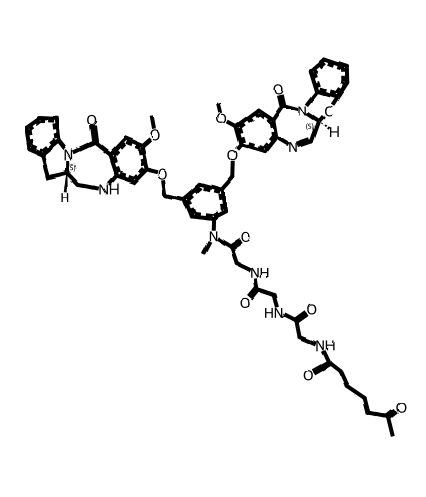 COc1cc2c(cc1OCc1cc(COc3cc4c(cc3OC)C(=O)N3c5ccccc5C[C@H]3CN4)cc(N(C)C(=O)CNC(=O)CNC(=O)CNC(=O)CCCCC(C)=O)c1)N=C[C@@H]1Cc3ccccc3N1C2=O